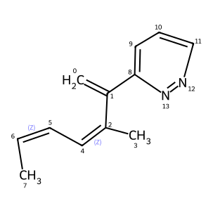 C=C(/C(C)=C\C=C/C)c1cccnn1